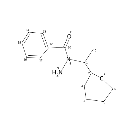 CC(C1CCCCC1)N(N)C(=O)c1ccccc1